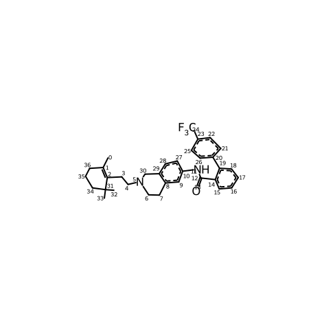 CC1=C(CCN2CCc3cc(NC(=O)c4ccccc4-c4ccc(C(F)(F)F)cc4)ccc3C2)C(C)(C)CCC1